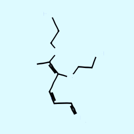 C=C/C=C\C(OCCO)=C(/CC)OCCO